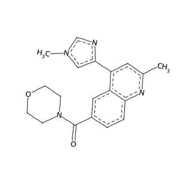 Cc1cc(-c2cn(C)cn2)c2cc(C(=O)N3CCOCC3)ccc2n1